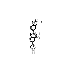 Cn1cc2cc(-c3nc4ccc(N5CCNCC5)cc4c(=O)[nH]3)ccc2n1